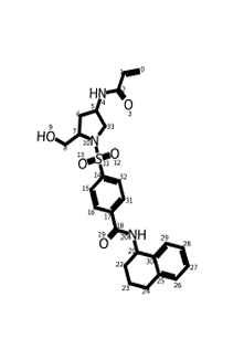 C=CC(=O)NC1CC(CO)N(S(=O)(=O)c2ccc(C(=O)NC3CCCc4ccccc43)cc2)C1